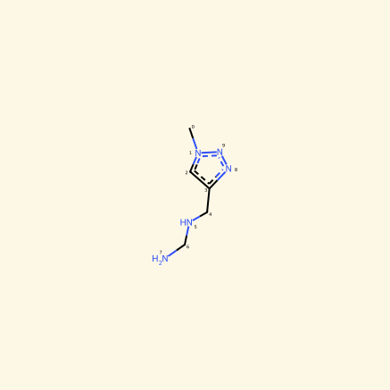 Cn1cc(CNCN)nn1